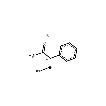 CC(C)N[C@H](C(N)=O)c1ccccc1.Cl